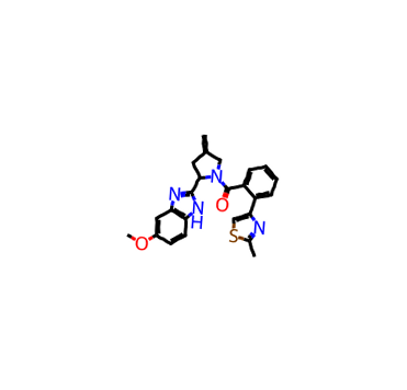 C=C1CC(c2nc3cc(OC)ccc3[nH]2)N(C(=O)c2ccccc2-c2csc(C)n2)C1